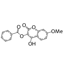 COc1ccc2c(O)c(OC(=O)c3ccccc3)c(=O)oc2c1